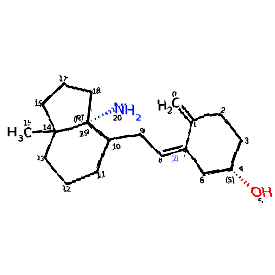 C=C1CC[C@H](O)C/C1=C/CC1CCCC2(C)CCC[C@@]12N